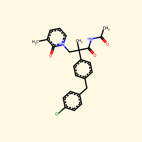 CC(=O)NC(=O)C(C)(Cn1cccc(C)c1=O)c1ccc(Cc2ccc(Cl)cc2)cc1